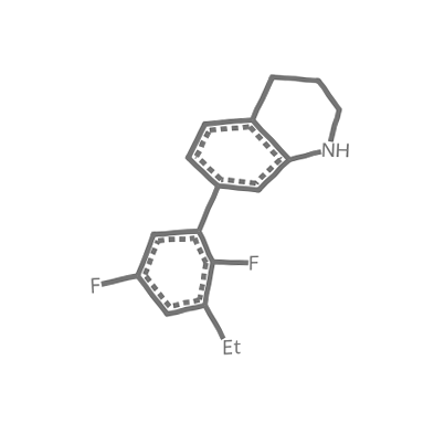 CCc1cc(F)cc(-c2ccc3c(c2)NCCC3)c1F